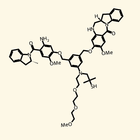 COCCOCCOCCN(CC(C)(C)S)c1cc(COc2cc(N)c(C(=O)N3c4ccccc4C[C@H]3C)cc2OC)cc(COc2cc3c(cc2OC)C(=O)N2c4ccccc4C[C@H]2CN3)c1